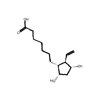 C=C[C@@H]1[C@@H](CCCCCCC(=O)O)[C@@H](O)C[C@H]1O